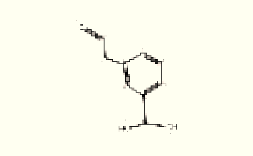 O=[C]Cc1cccc(C(O)O)c1